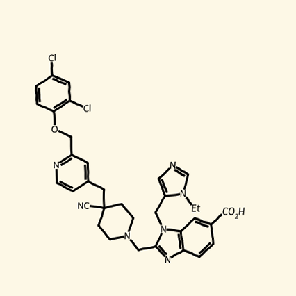 CCn1cncc1Cn1c(CN2CCC(C#N)(Cc3ccnc(COc4ccc(Cl)cc4Cl)c3)CC2)nc2ccc(C(=O)O)cc21